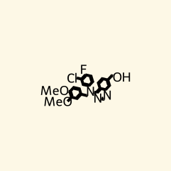 COc1ccc(CN(c2ccc(F)c(Cl)c2)c2ncnc3cc(CO)ccc23)cc1OC